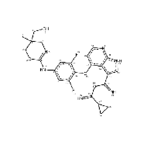 CC1(CO)CN=C(Nc2cc(F)c(Oc3ccnc4[nH]cc(C(=N)OC(=N)C5CC5)c34)c(F)c2)OC1